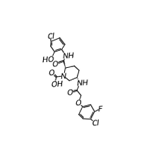 O=C(COc1ccc(Cl)c(F)c1)N[C@H]1CC[C@H](C(=O)Nc2ccc(Cl)cc2O)N(C(=O)O)C1